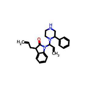 C=CCC1C(=O)N(C(C=C)N2CCNCC2c2ccccc2)c2ccccc21